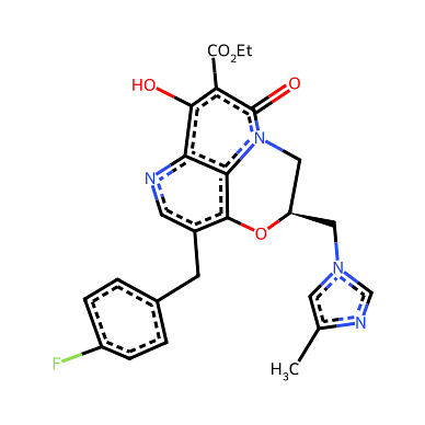 CCOC(=O)c1c(O)c2ncc(Cc3ccc(F)cc3)c3c2n(c1=O)C[C@@H](Cn1cnc(C)c1)O3